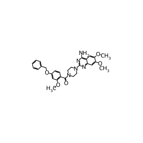 COc1cc2nc(N3CCN(C(=O)c4ccc(OCc5ccccc5)cc4OC)CC3)nc(N)c2cc1OC